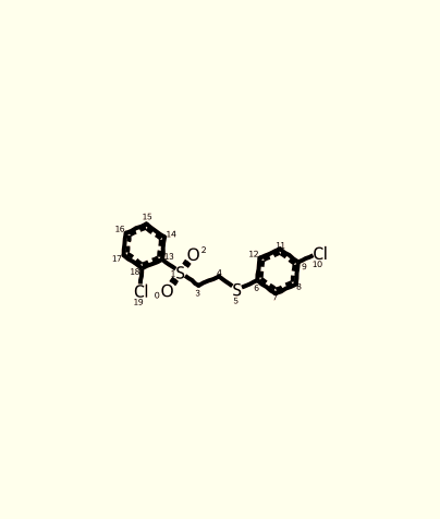 O=S(=O)(CCSc1ccc(Cl)cc1)c1ccccc1Cl